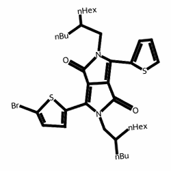 CCCCCCC(CCCC)CN1C(=O)C2=C(c3ccc(Br)s3)N(CC(CCCC)CCCCCC)C(=O)C2=C1c1cccs1